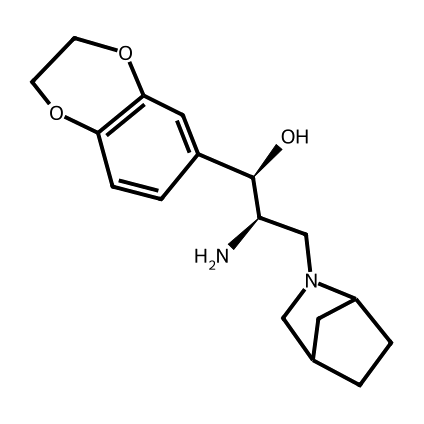 N[C@H](CN1CC2CCC1C2)[C@H](O)c1ccc2c(c1)OCCO2